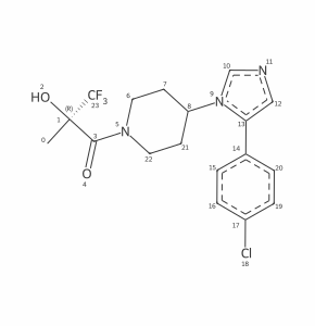 C[C@@](O)(C(=O)N1CCC(n2cncc2-c2ccc(Cl)cc2)CC1)C(F)(F)F